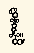 CN1CCc2cccc(C(O)C(=O)N3CC4=C(C3)CN(S(=O)(=O)c3ccc5c(c3)OCCO5)C4)c2C1